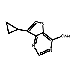 COc1ncnc2c(C3CC3)csc12